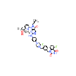 C=CCn1c(=O)c2cnc(Nc3ccc(N4CCN(Cc5cc(Cn6c(=O)[nH]c(=O)c7c(F)cccc76)ccc5F)CC4)cc3)nc2n1-c1cccc(C(C)(C)O)n1